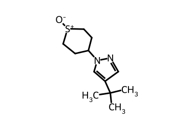 CC(C)(C)c1cnn(C2CC[S+]([O-])CC2)c1